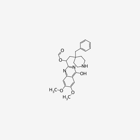 COc1cc2nc(C(CC3(Cc4ccccc4)CCNCC3)OC=O)nc(O)c2cc1OC